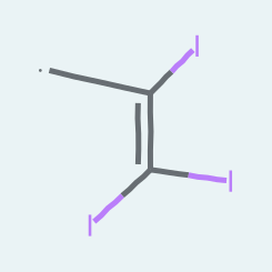 [CH2]C(I)=C(I)I